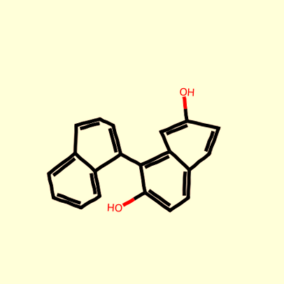 Oc1ccc2ccc(O)c(-c3cccc4ccccc34)c2c1